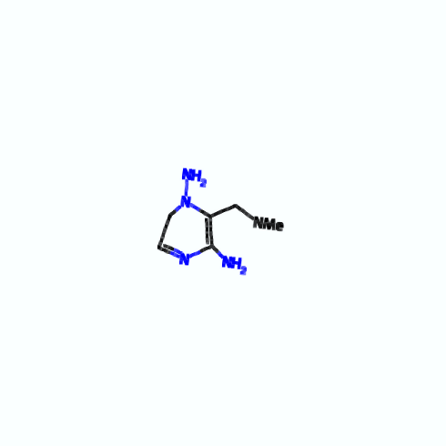 CNCC1=C(N)N=CCN1N